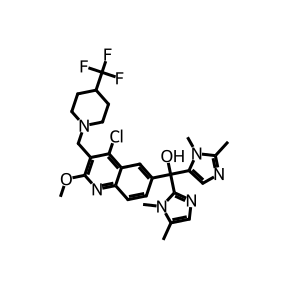 COc1nc2ccc(C(O)(c3cnc(C)n3C)c3ncc(C)n3C)cc2c(Cl)c1CN1CCC(C(F)(F)F)CC1